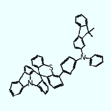 CC1(C)c2ccccc2-c2ccc(N(c3ccccc3)c3ccc(-c4cccc5c4Sc4ccccc4C54c5ccccc5-n5c6ccccc6c6cccc4c65)cc3)cc21